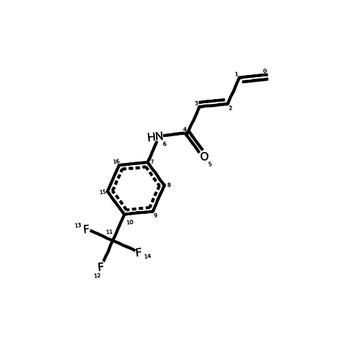 C=CC=CC(=O)Nc1ccc(C(F)(F)F)cc1